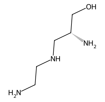 NCCNC[C@@H](N)CO